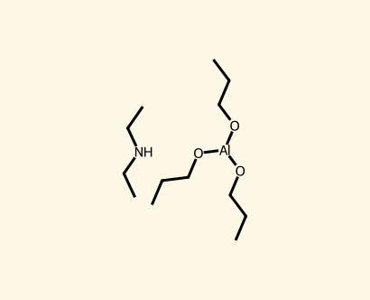 CCC[O][Al]([O]CCC)[O]CCC.CCNCC